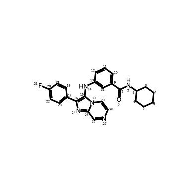 O=C(NC1CCCCC1)c1cccc(Nc2c(-c3ccc(F)cc3)nc3cnccn23)c1